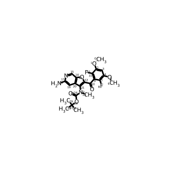 COc1cc(OC)c(F)c(C(=O)c2oc3cnc(N)cc3c2N(C)C(=O)OC(C)(C)C)c1F